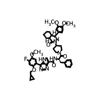 COc1cc(-c2ncnc3c(C(=O)N[C@H](Cc4ccccc4)C(=O)N4CCC(N5N=C(c6ccc(OC)c(OC)c6)[C@H]6CCCC[C@H]6C5=O)CC4)c[nH]c23)c(OCC2CC2)cc1F